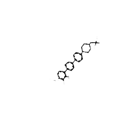 CCOc1ccc(-c2ccc(-c3ccc(C4CCC(CC(C)(F)F)CC4)cc3)cc2)c(F)c1F